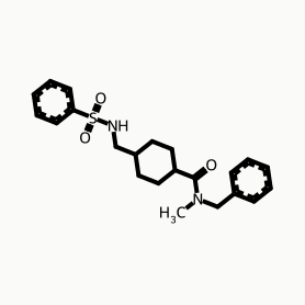 CN(Cc1ccccc1)C(=O)C1CCC(CNS(=O)(=O)c2ccccc2)CC1